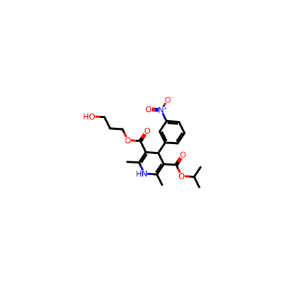 CC1=C(C(=O)OCCCO)C(c2cccc([N+](=O)[O-])c2)C(C(=O)OC(C)C)=C(C)N1